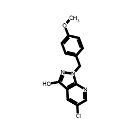 COc1ccc(Cn2nc(O)c3cc(Cl)cnc32)cc1